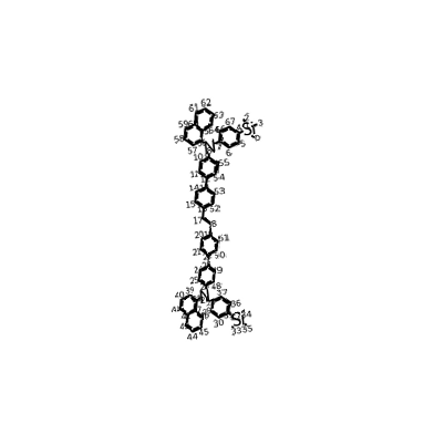 C[Si](C)(C)c1ccc(N(c2ccc(-c3ccc(/C=C/c4ccc(-c5ccc(N(c6ccc([Si](C)(C)C)cc6)c6cccc7ccccc67)cc5)cc4)cc3)cc2)c2cccc3ccccc23)cc1